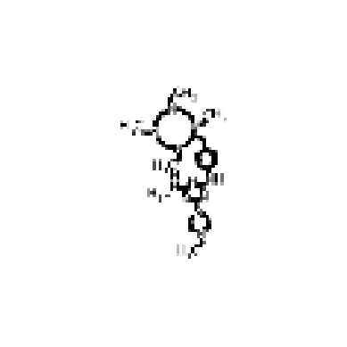 CCN1CCN(CC)CCN(CC)C(Cc2ccc(Nc3nc(NC)nc(N4CCN(CC)CC4)n3)cc2)CN(CC)CC1